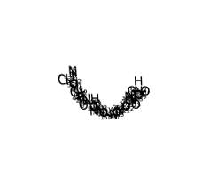 CC1(C)[C@H](NC(=O)c2cnc(N3CCC(CN4CCN(c5ccc6c(=O)n([C@H]7CCC(=O)NC7=O)ncc6c5)CC4)CC3)nc2)C(C)(C)[C@H]1Oc1ccc(C#N)c(Cl)c1